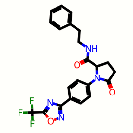 O=C(NCCc1ccccc1)C1CCC(=O)N1c1ccc(-c2noc(C(F)(F)F)n2)cc1